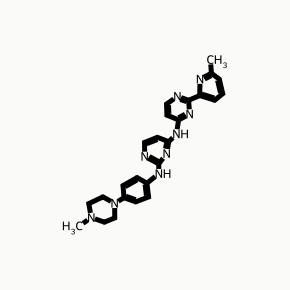 Cc1cccc(-c2nccc(Nc3ccnc(Nc4ccc(N5CCN(C)CC5)cc4)n3)n2)n1